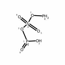 O=[PH](O)OS(=O)(=O)OP